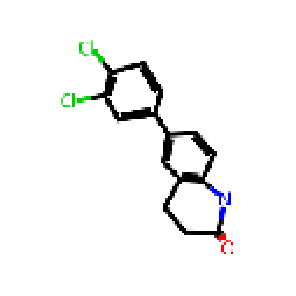 O=C1CCc2cc(-c3ccc(Cl)c(Cl)c3)ccc2[N]1